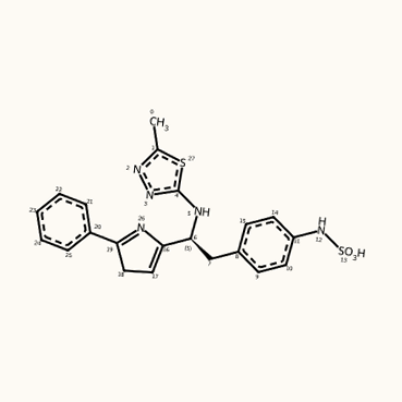 Cc1nnc(N[C@@H](Cc2ccc(NS(=O)(=O)O)cc2)C2=CCC(c3ccccc3)=N2)s1